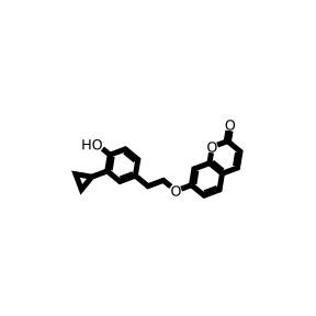 O=c1ccc2ccc(OCCc3ccc(O)c(C4CC4)c3)cc2o1